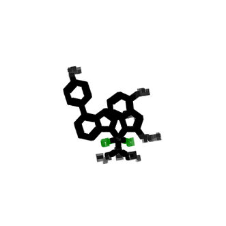 CCCC(C)C1=Cc2c(C(C)CC)cccc2[CH]1[Zr]([Cl])([Cl])([CH]1C(C)=Cc2c(-c3ccc(C(C)(C)C)cc3)cccc21)[SiH](C)C